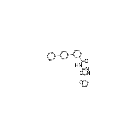 O=C(Nc1nnc(-c2ccco2)o1)c1cccc(-c2ccc(-c3ccccc3)cc2)c1